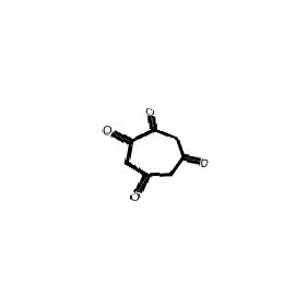 O=C1CC(=O)CC(=O)C(=O)C1